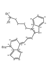 CCN(CC)CCCC[n+]1c(/C=C/C=C2\C=CN(CC)c3ccccc32)sc2ccccc21